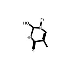 CCN1C=C(C)C(=S)NC1O